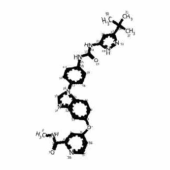 CNC(=O)c1cc(Oc2ccc3c(c2)ncn3-c2ccc(NC(=O)Nc3cc(C(C)(C)C)n[nH]3)cc2)ccn1